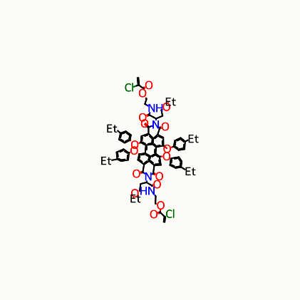 C=C(Cl)C(=O)OCCNC(=O)C(CCOCC)N1C(=O)c2cc(Oc3ccc(CC)cc3)c3c4c(Oc5ccc(CC)cc5)cc5c6c(cc(Oc7ccc(CC)cc7)c(c7c(Oc8ccc(CC)cc8)cc(c2c37)C1=O)c64)C(=O)N(C(CCOCC)C(=O)NCCOC(=O)C(=C)Cl)C5=O